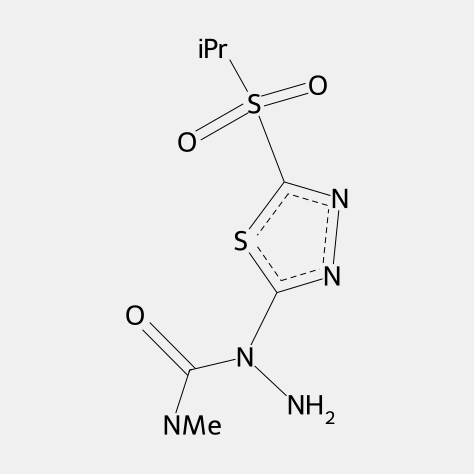 CNC(=O)N(N)c1nnc(S(=O)(=O)C(C)C)s1